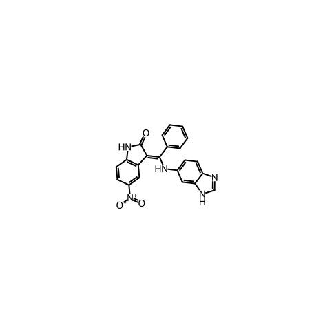 O=C1Nc2ccc([N+](=O)[O-])cc2C1=C(Nc1ccc2nc[nH]c2c1)c1ccccc1